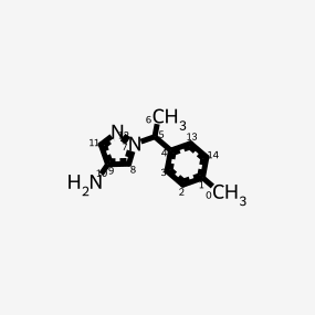 Cc1ccc(C(C)n2cc(N)cn2)cc1